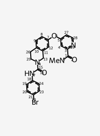 CNC(=O)c1cc(Oc2ccc3c(c2)CN(C(=O)Nc2ccc(Br)cc2)CC3)ccn1